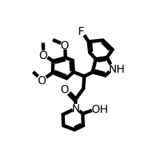 COc1cc(C(CC(=O)N2CCC=CC2O)c2c[nH]c3ccc(F)cc23)cc(OC)c1OC